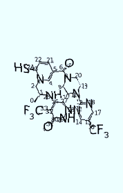 C[C@@H](CN1C=C(C(=O)N2CCN(c3ncc(C(F)(F)F)cn3)CC2)C=C[C@@H]1S)Nc1cn[nH]c(=O)c1C(F)(F)F